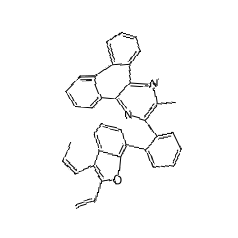 C=Cc1oc2c(-c3ccccc3-c3nc4c5ccccc5c5ccccc5c4nc3C)cccc2c1/C=C\C